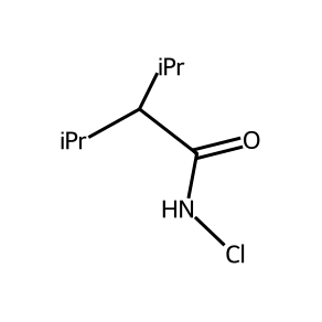 CC(C)C(C(=O)NCl)C(C)C